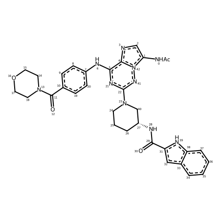 CC(=O)Nc1cnc2c(Nc3ccc(C(=O)N4CCOCC4)cc3)nc(N3CCC[C@@H](NC(=O)c4cc5ccccc5[nH]4)C3)nn12